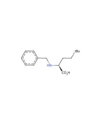 CC(C)(C)CC[C@H](NCc1ccccc1)C(=O)O